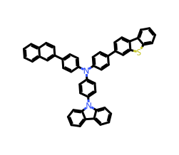 c1ccc2cc(-c3ccc(N(c4ccc(-c5ccc6c(c5)sc5ccccc56)cc4)c4ccc(-n5c6ccccc6c6ccccc65)cc4)cc3)ccc2c1